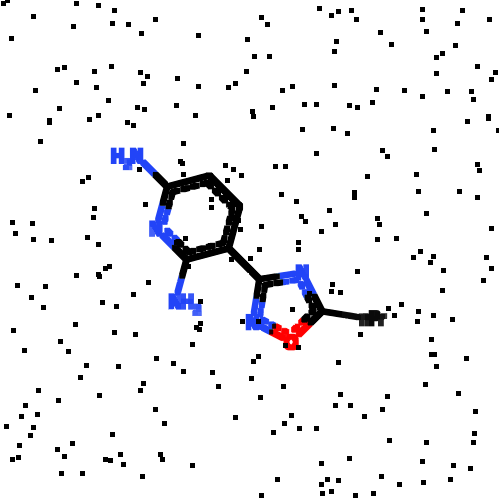 CCCc1nc(-c2ccc(N)nc2N)no1